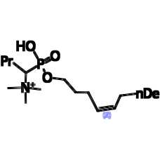 CCCCCCCCCCC/C=C\CCCOP(=O)(O)C(CCC)[N+](C)(C)C